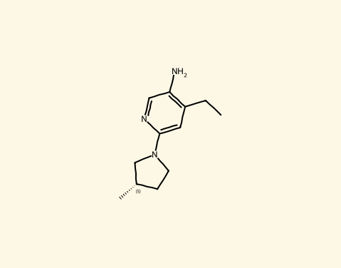 CCc1cc(N2CC[C@H](C)C2)ncc1N